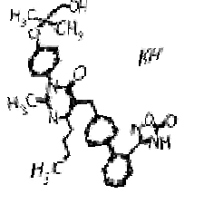 CCCCc1nc(C)n(-c2ccc(OC(C)(C)CO)cc2)c(=O)c1Cc1ccc(-c2ccccc2-c2noc(=O)[nH]2)cc1.[KH]